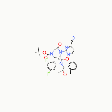 CC(=O)C(c1ccccc1C)N(C(=O)[C@@H]1CN(C(=O)OC(C)(C)C)CC(=O)N1c1nccc(C#N)n1)c1cc(F)cc(F)c1